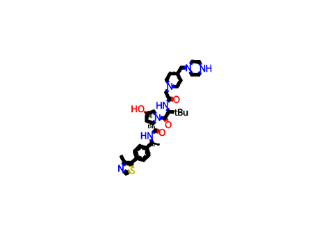 Cc1ncsc1-c1ccc([C@H](C)NC(=O)[C@@H]2C[C@@H](O)CN2C(=O)C(NC(=O)CN2CCC(CN3CCNCC3)CC2)C(C)(C)C)cc1